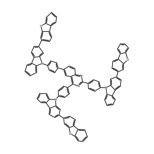 c1ccc2c(c1)oc1cc(-c3ccc4c5ccccc5n(-c5ccc(-c6ccc7nc(-c8ccc(-n9c%10ccccc%10c%10ccc(-c%11ccc%12c(c%11)oc%11ccccc%11%12)cc%109)cc8)nc(-c8ccc(-n9c%10ccccc%10c%10ccc(-c%11ccc%12c(c%11)oc%11ccccc%11%12)cc%109)cc8)c7c6)cc5)c4c3)ccc12